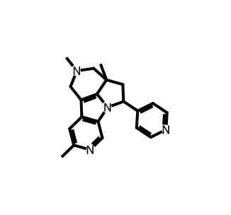 Cc1cc2c3c4n(c2cn1)C(c1ccncc1)CC4(C)CN(C)C3